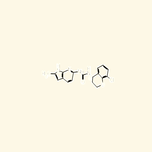 Cc1cc2ccc(NC(=O)N[C@H]3CCOc4c(Cl)cccc43)nc2[nH]1